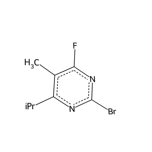 Cc1c(F)nc(Br)nc1C(C)C